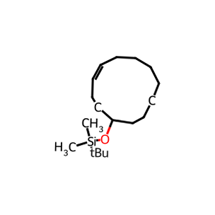 CC(C)(C)[Si](C)(C)OC1CC/C=C\CCCCCCC1